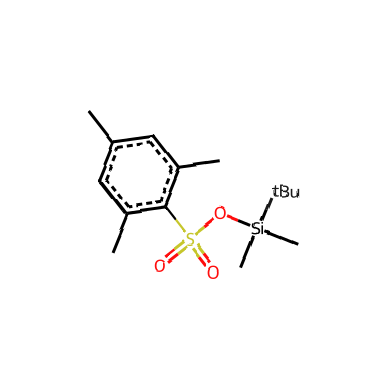 Cc1cc(C)c(S(=O)(=O)O[Si](C)(C)C(C)(C)C)c(C)c1